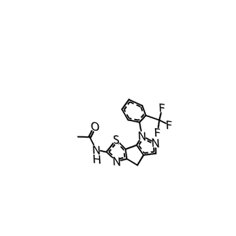 CC(=O)Nc1nc2c(s1)-c1c(cnn1-c1ccccc1C(F)(F)F)C2